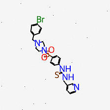 O=S(=O)(c1ccc(NC(=S)NCc2cccnc2)cc1)N1CCN(Cc2ccc(Br)cc2)CC1